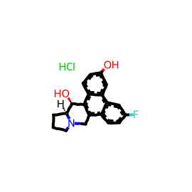 Cl.Oc1ccc2c3c(c4ccc(F)cc4c2c1)CN1CCC[C@H]1[C@H]3O